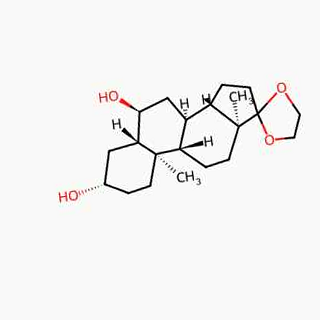 C[C@]12CC[C@H](O)C[C@@H]1[C@@H](O)C[C@@H]1[C@@H]2CC[C@@]2(C)[C@H]1CCC21OCCO1